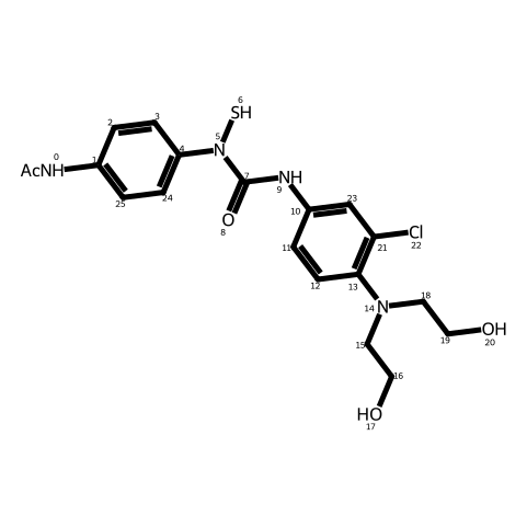 CC(=O)Nc1ccc(N(S)C(=O)Nc2ccc(N(CCO)CCO)c(Cl)c2)cc1